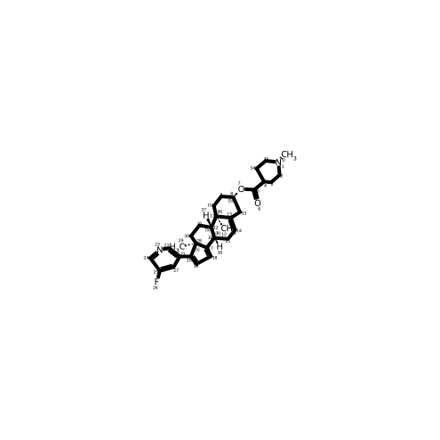 CN1CCC(C(=O)O[C@H]2CC[C@@]3(C)C(=CC[C@H]4C5=CC=C(c6cncc(F)c6)[C@@]5(C)CC[C@@H]43)C2)CC1